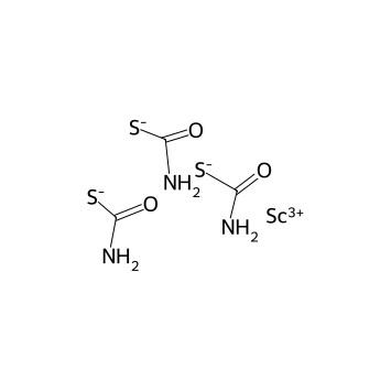 NC(=O)[S-].NC(=O)[S-].NC(=O)[S-].[Sc+3]